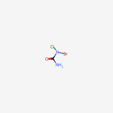 NC(=O)N(Cl)Br